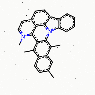 Cc1ccc2c(C)c3c(c(C)c2c1)n1c2ccccc2c2ccc4cc[n+](C)c3c4c21